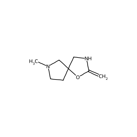 C=C1NCC2(CCN(C)C2)O1